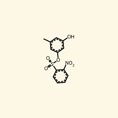 Cc1cc(O)cc(OS(=O)(=O)c2ccccc2[N+](=O)[O-])c1